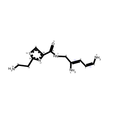 N/C=C\C=C(/N)CNC(=O)c1csc(CCN)n1